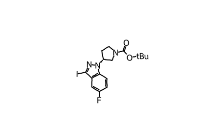 CC(C)(C)OC(=O)N1CC[C@H](n2nc(I)c3cc(F)ccc32)C1